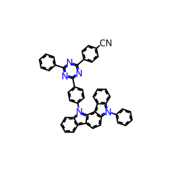 N#Cc1ccc(-c2nc(-c3ccccc3)nc(-c3ccc(-n4c5ccccc5c5ccc6c(c7ccccc7n6-c6ccccc6)c54)cc3)n2)cc1